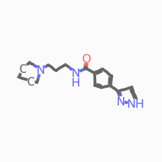 O=C(NCCCN1CCCCC1)c1ccc(-c2cc[nH]n2)cc1